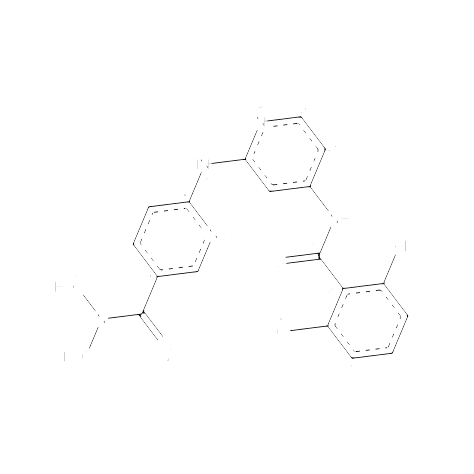 CN(C)C(=O)c1ccc(Nc2cc(NC(=O)c3c(Cl)cccc3Cl)ccn2)nc1